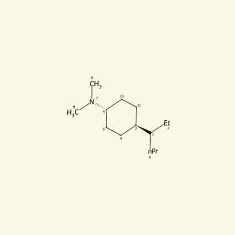 CCCC(CC)[C@H]1CC[C@H](N(C)C)CC1